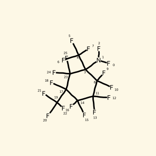 FN(F)C1(C(F)(F)F)C(F)(F)C(F)(F)C(F)(F)C(F)(C(F)(F)F)C1(F)F